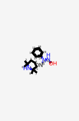 CC1(C)CCCC(C)(C)N1.O=NN(NO)c1ccccc1